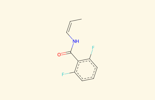 C/C=C\NC(=O)c1c(F)cccc1F